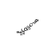 CC(C)(C)NC(=S)Nc1ccc(OC(=O)N2CCC(COn3ccnc3)CC2)nc1